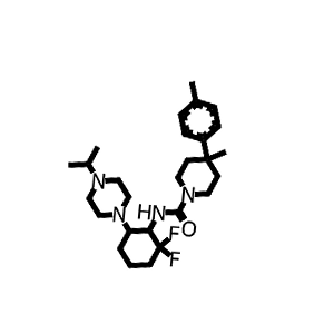 Cc1ccc(C2(C)CCN(C(=O)NC3C(N4CCN(C(C)C)CC4)CCCC3(F)F)CC2)cc1